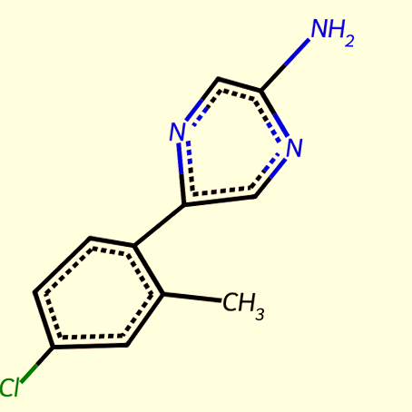 Cc1cc(Cl)ccc1-c1cnc(N)cn1